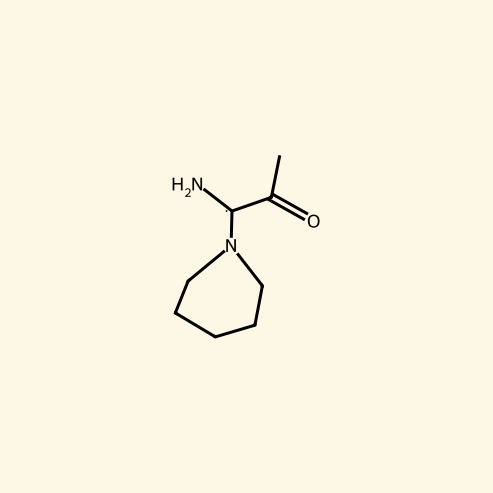 CC(=O)[C](N)N1CCCCC1